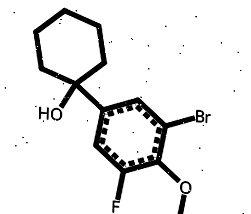 COc1c(F)cc(C2(O)CCCCC2)cc1Br